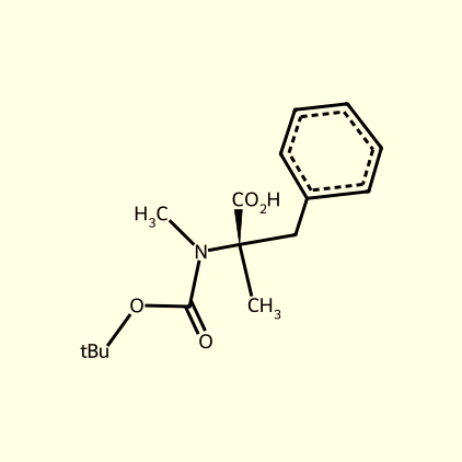 CN(C(=O)OC(C)(C)C)[C@@](C)(Cc1ccccc1)C(=O)O